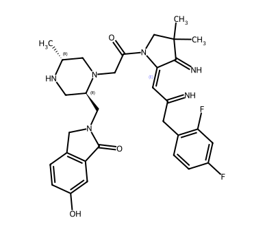 C[C@@H]1CN(CC(=O)N2CC(C)(C)C(=N)/C2=C\C(=N)Cc2ccc(F)cc2F)[C@@H](CN2Cc3ccc(O)cc3C2=O)CN1